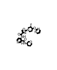 O=C(Nc1ccncc1C(=O)N[C@H]1CCCOC1)c1coc(N2CCC(Oc3ncccn3)C(F)C2)n1